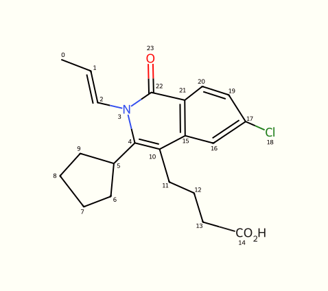 CC=Cn1c(C2CCCC2)c(CCCC(=O)O)c2cc(Cl)ccc2c1=O